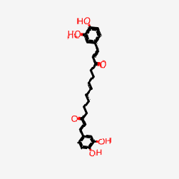 O=C(C=Cc1ccc(O)c(O)c1)CCCCCCCCC(=O)C=Cc1ccc(O)c(O)c1